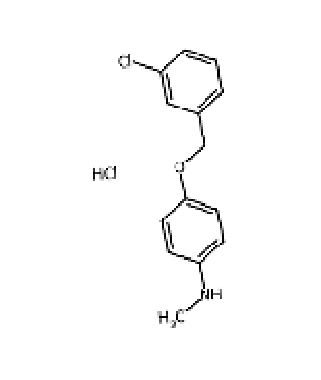 CNc1ccc(OCc2cccc(Cl)c2)cc1.Cl